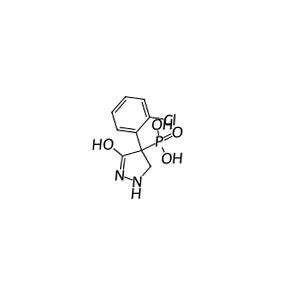 O=P(O)(O)C1(c2ccccc2Cl)CNN=C1O